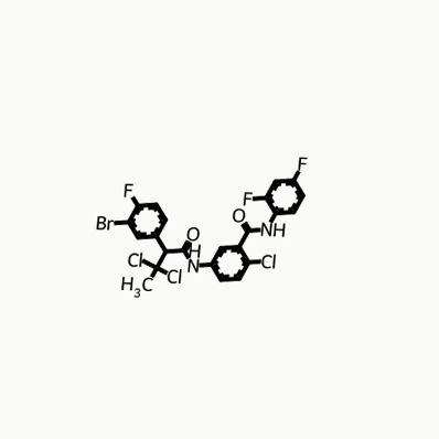 CC(Cl)(Cl)C(C(=O)Nc1ccc(Cl)c(C(=O)Nc2ccc(F)cc2F)c1)c1ccc(F)c(Br)c1